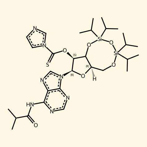 CC(C)C(=O)Nc1ncnc2c1ncn2[C@@H]1O[C@@H]2CO[Si](C(C)C)(C(C)C)O[Si](C(C)C)(C(C)C)OC2[C@@H]1OC(=S)n1ccnc1